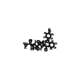 O=C(N[C@H]1CO[C@H]2[C@@H]1OC[C@@H]2NC(=O)C1CC1)c1ccccc1Oc1ccc(F)cc1